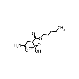 CCCCCOC(=O)C(CC(N)=O)S(=O)(=O)O